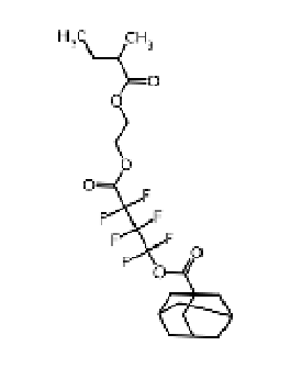 CCC(C)C(=O)OCCOC(=O)C(F)(F)C(F)(F)C(F)(F)OC(=O)C12CC3CC(CC(C3)C1)C2